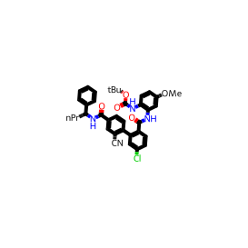 CCCC(NC(=O)c1ccc(-c2cc(Cl)ccc2C(=O)Nc2cc(OC)ccc2NC(=O)OC(C)(C)C)c(C#N)c1)c1ccccc1